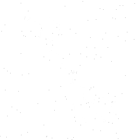 FC(F)(F)c1cccc(CCCNCCc2cccc3ccccc23)c1